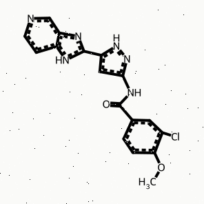 COc1ccc(C(=O)Nc2cc(-c3nc4cnccc4[nH]3)[nH]n2)cc1Cl